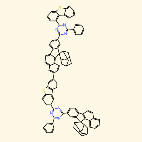 c1ccc(-c2nc(-c3ccc4c(c3)C3(c5c-4ccc4ccccc54)C4CC5CC(C4)CC3C5)nc(-c3ccc4sc5cc(-c6ccc7c8c(ccc7c6)-c6ccc(-c7nc(-c9ccccc9)nc(-c9cccc%10sc%11ccccc%11c9%10)n7)cc6C86C7CC8CC(C7)CC6C8)ccc5c4c3)n2)cc1